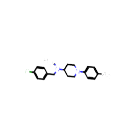 CC(=O)c1ccc(N2CCC(N(C)Cc3ccc(F)cc3)CC2)cc1